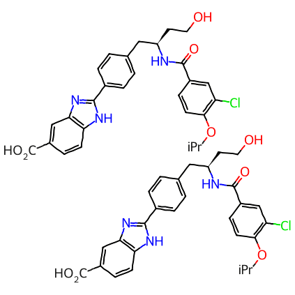 CC(C)Oc1ccc(C(=O)N[C@H](CCO)Cc2ccc(-c3nc4cc(C(=O)O)ccc4[nH]3)cc2)cc1Cl.CC(C)Oc1ccc(C(=O)N[C@H](CCO)Cc2ccc(-c3nc4cc(C(=O)O)ccc4[nH]3)cc2)cc1Cl